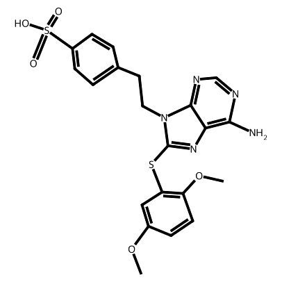 COc1ccc(OC)c(Sc2nc3c(N)ncnc3n2CCc2ccc(S(=O)(=O)O)cc2)c1